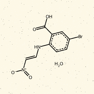 O.O=C(O)c1cc(Br)ccc1NC=C[N+](=O)[O-]